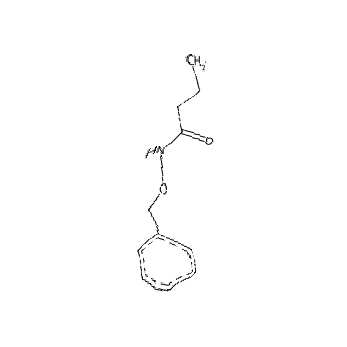 [CH2]CCC(=O)NOCc1ccccc1